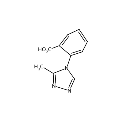 Cc1nncn1-c1ccccc1C(=O)O